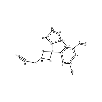 C=Cc1cc(Br)cc(C2(c3nncn3C)CC(CC#N)C2)c1